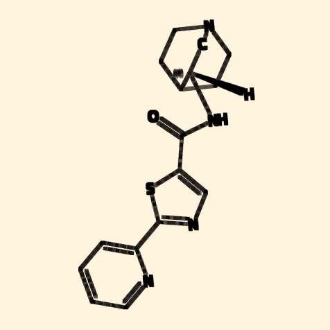 O=C(N[C@H]1CN2CCC1CC2)c1cnc(-c2ccccn2)s1